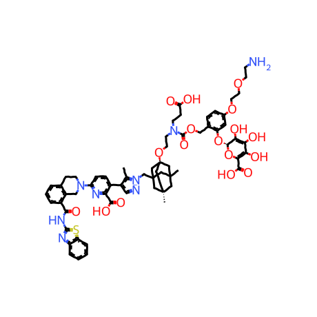 Cc1c(-c2ccc(N3CCc4cccc(C(=O)Nc5nc6ccccc6s5)c4C3)nc2C(=O)O)cnn1CC12CC3(C)C[C@@](C)(C1)C[C@@](OCCN(CCC(=O)O)C(=O)OCc1ccc(OCCOCCN)cc1O[C@H]1OC(C(=O)O)=C(O)C(O)=C1O)(C3)C2